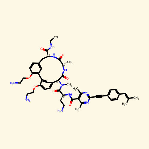 CC(C)=Cc1ccc(C#Cc2nc(C)c(C(=O)N[C@@H](CCN)C(=O)N(C)[C@@H]3C(=O)N[C@@H](C)C(=O)N[C@H](C(=O)NCC#N)Cc4ccc(OCCN)c(c4)-c4cc3ccc4OCCN)c(C)n2)cc1